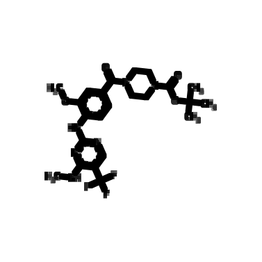 CNc1nc(Nc2ccc(C(=O)N3CCN(C(=O)OC(C)(C)C)CC3)cc2OC)ncc1C(F)(F)F